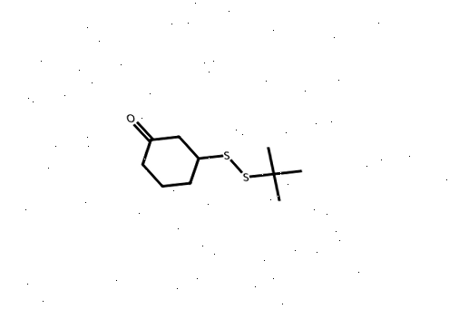 CC(C)(C)SSC1CCCC(=O)C1